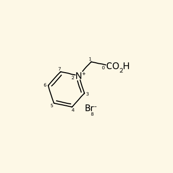 O=C(O)C[n+]1ccccc1.[Br-]